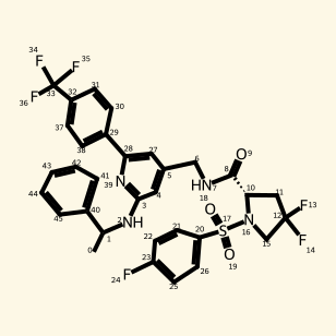 CC(Nc1cc(CNC(=O)[C@@H]2CC(F)(F)CN2S(=O)(=O)c2ccc(F)cc2)cc(-c2ccc(C(F)(F)F)cc2)n1)c1ccccc1